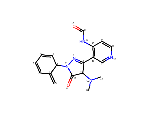 C=C1C=CC=CC1N1N=C(c2cnccc2NC=O)C(N(C)C)C1=O